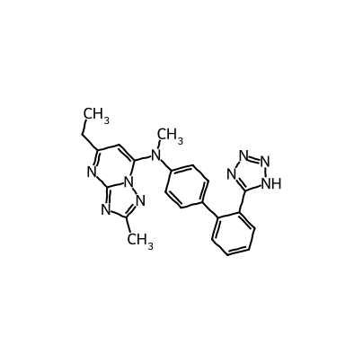 CCc1cc(N(C)c2ccc(-c3ccccc3-c3nnn[nH]3)cc2)n2nc(C)nc2n1